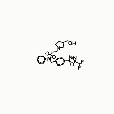 O=S(=O)(CCN1CCC(CO)C1)N(Cc1ccc(-c2nnc(C(F)F)o2)cc1)c1ccccc1